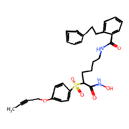 CC#CCOc1ccc(S(=O)(=O)C(CCCCNC(=O)c2ccccc2CCc2ccccc2)C(=O)NO)cc1